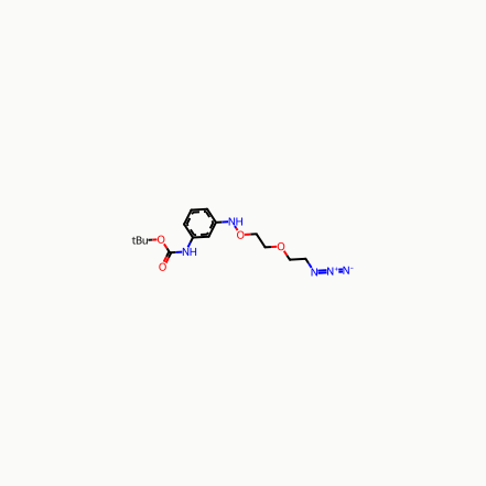 CC(C)(C)OC(=O)Nc1cccc(NOCCOCCN=[N+]=[N-])c1